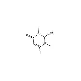 CC1=CC(=O)N(C)C(O)N1C